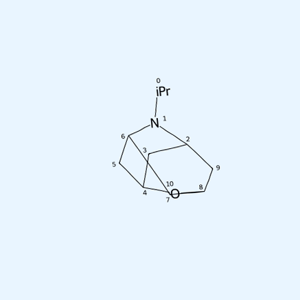 CC(C)N1C2CC3CC1CC(C2)O3